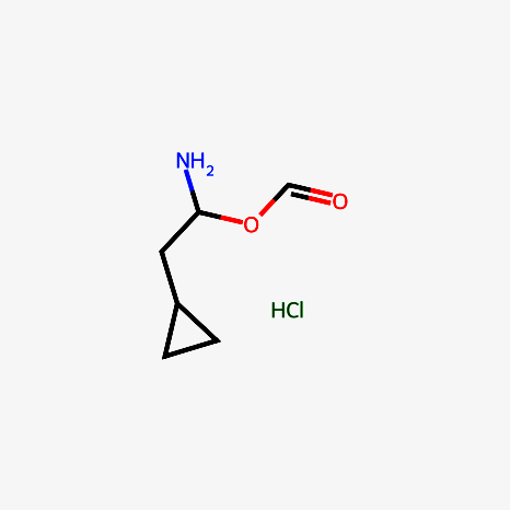 Cl.NC(CC1CC1)OC=O